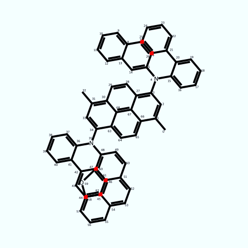 Cc1cc(N(c2ccc3ccccc3c2)c2ccccc2-c2ccccc2)c2ccc3c(C)cc(N(c4ccccc4-c4ccccc4)c4ccc5ccc6cccc7oc4c5c67)c4ccc1c2c34